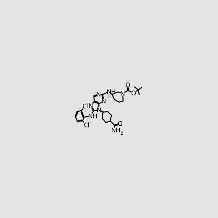 CC(C)(C)OC(=O)N1CCC[C@@H](Nc2ncc3nc(Nc4c(Cl)cccc4Cl)n(C4CCC(C(N)=O)CC4)c3n2)C1